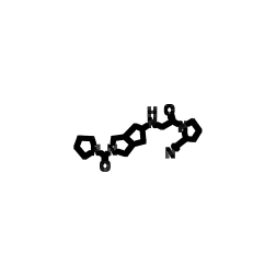 N#CC1CCCN1C(=O)CNC1CC2CN(C(=O)N3CCCC3)CC2C1